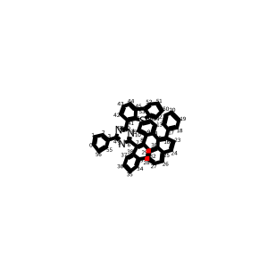 c1ccc(-c2nc(-c3c(-c4ccccc4-c4c(-c5ccccc5)ccc5ccccc45)ccc4ccccc34)nc(-c3cccc4c3sc3ccccc34)n2)cc1